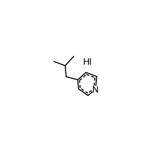 CC(C)Cc1ccncc1.I